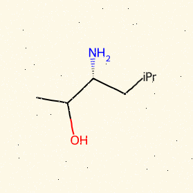 CC(C)C[C@@H](N)C(C)O